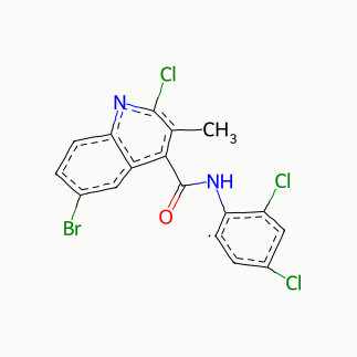 Cc1c(Cl)nc2ccc(Br)cc2c1C(=O)Nc1[c]cc(Cl)cc1Cl